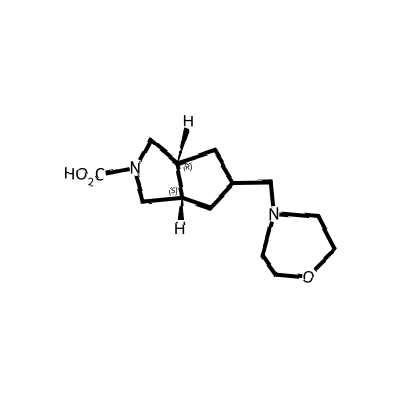 O=C(O)N1C[C@H]2CC(CN3CCOCC3)C[C@H]2C1